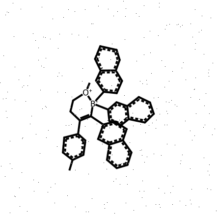 Cc1ccc(C2=C(c3ccc4ccccc4c3)[B-](c3ccc4ccccc4c3)(c3ccc4ccccc4c3)[O+](C)CC2)cc1